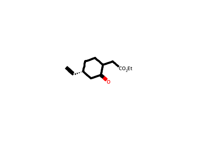 C=C[C@@H]1CCC(CC(=O)OCC)C(=O)C1